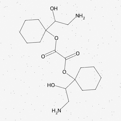 NCC(O)C1(OC(=O)C(=O)OC2(C(O)CN)CCCCC2)CCCCC1